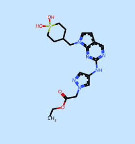 CCOC(=O)Cn1cc(Nc2ncc3ccn(CC4CCS(O)(O)CC4)c3n2)cn1